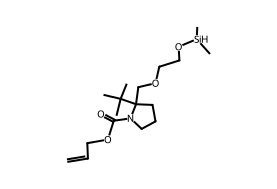 C=CCOC(=O)N1CCCC1(COCCO[SiH](C)C)C(C)(C)C